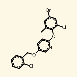 Cc1cc(Br)cc(Cl)c1Oc1ccc(OCc2ccccc2Cl)cn1